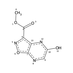 COC(=O)c1noc2ncc(O)nc12